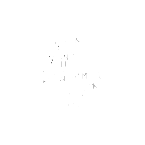 O=C(c1cccc(F)c1-c1ncccn1)N1C[C@@H]2C[C@@H](Nc3ncc(Cl)cn3)[C@@H]1C2